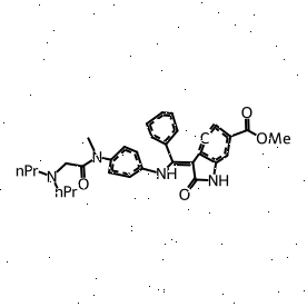 CCCN(CCC)CC(=O)N(C)c1ccc(N/C(=C2\C(=O)Nc3cc(C(=O)OC)ccc32)c2ccccc2)cc1